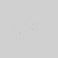 CC(=O)OC1N=C(c2ccccc2Cl)c2cc(C#N)ccc2-n2cc(C)nc21